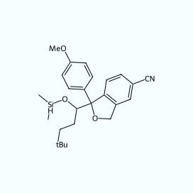 COc1ccc(C2(C(CCC(C)(C)C)O[SiH](C)C)OCc3cc(C#N)ccc32)cc1